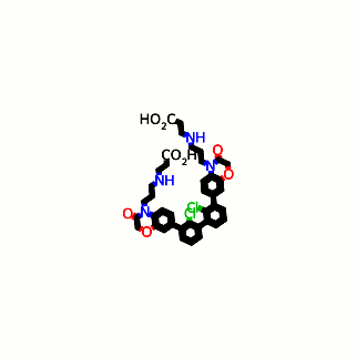 O=C(O)CCNCCCN1C(=O)COc2cc(-c3cccc(-c4cccc(-c5ccc6c(c5)OCC(=O)N6CCCNCCC(=O)O)c4Cl)c3Cl)ccc21